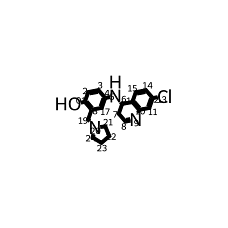 Oc1ccc(NC2CC=Nc3cc(Cl)ccc32)cc1CN1CCCC1